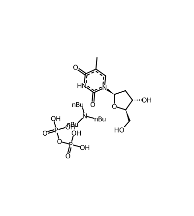 CCCCN(CCCC)CCCC.Cc1cn([C@H]2C[C@H](O)[C@@H](CO)O2)c(=O)[nH]c1=O.O=P(O)(O)OP(=O)(O)O